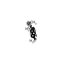 COC1C2[C@@H]3CC[C@@H]4[C@H](CC[C@]5(C)[C@@H](C(=O)Cn6nnnc6C)CC[C@@H]45)[C@H]3CC[C@]12O